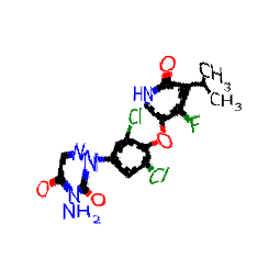 CC(C)c1c(F)c(Oc2c(Cl)cc(-n3ncc(=O)n(N)c3=O)cc2Cl)c[nH]c1=O